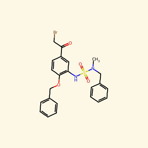 CN(Cc1ccccc1)S(=O)(=O)Nc1cc(C(=O)CBr)ccc1OCc1ccccc1